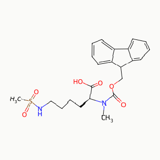 CN(C(=O)OCC1c2ccccc2-c2ccccc21)[C@@H](CCCCNS(C)(=O)=O)C(=O)O